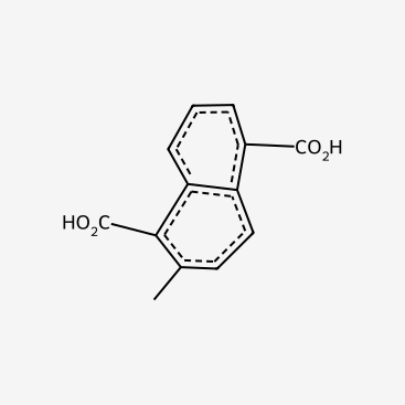 Cc1ccc2c(C(=O)O)cccc2c1C(=O)O